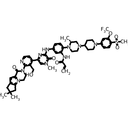 C=CC(=O)Nc1cc(Nc2nc(-c3ccnc(N4CCn5c(cc6c5CC(C)(C)C6)C4=O)c3CO)cn(C)c2=O)ccc1N1CCN(C2CCN(c3ccc(S(C)(=O)=O)c(OC(F)(F)F)c3)CC2)C[C@@H]1C